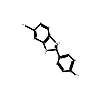 CCc1ccc(-c2nc3ccc(I)cc3s2)cc1